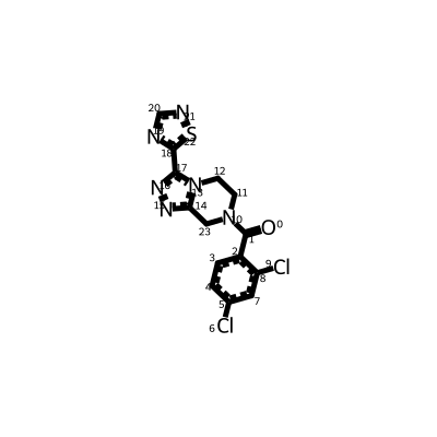 O=C(c1ccc(Cl)cc1Cl)N1CCn2c(nnc2-c2ncns2)C1